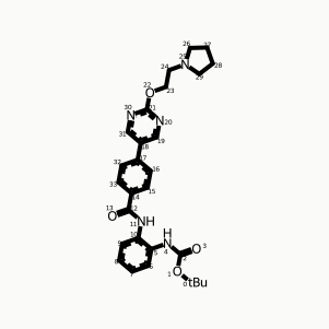 CC(C)(C)OC(=O)Nc1ccccc1NC(=O)c1ccc(-c2cnc(OCCN3CCCC3)nc2)cc1